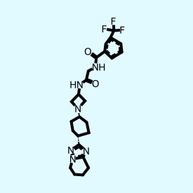 O=C(CNC(=O)c1cccc(C(F)(F)F)c1)NC1CN([C@H]2CC[C@@H](c3nc4n(n3)CCCC4)CC2)C1